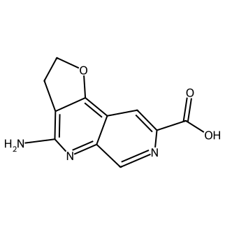 Nc1nc2cnc(C(=O)O)cc2c2c1CCO2